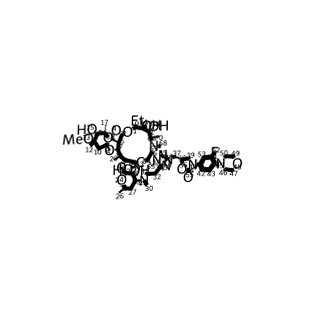 CC[C@H]1OC(=O)[C@H](C)[C@@H](O[C@H]2C[C@@](C)(OC)[C@@H](O)[C@H](C)O2)[C@H](C)[C@@H](O[C@@H]2O[C@H](C)C[C@H](N(C)CCc3nnn(C[C@H]4CN(c5ccc(N6CCOCC6)c(F)c5)C(=O)O4)n3)[C@H]2O)[C@](C)(O)C[C@@H](C)CN(C)[C@H](C)[C@@H](O)[C@]1(C)O